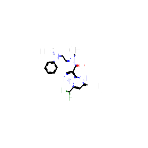 C=C1C=C(C(F)F)n2ncc(C(=O)N(CC)CCN(C)c3ccccc3)c2N1